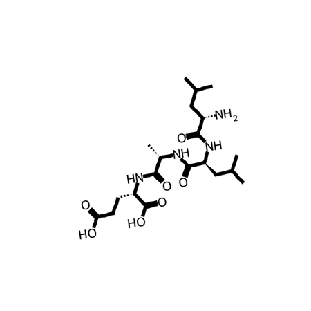 CC(C)C[C@H](NC(=O)[C@@H](N)CC(C)C)C(=O)N[C@@H](C)C(=O)N[C@@H](CCC(=O)O)C(=O)O